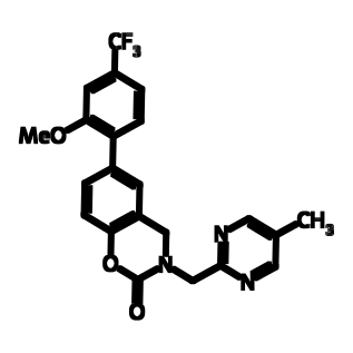 COc1cc(C(F)(F)F)ccc1-c1ccc2c(c1)CN(Cc1ncc(C)cn1)C(=O)O2